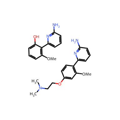 COc1cc(OCCN(C)C)ccc1-c1cccc(N)n1.COc1cccc(O)c1-c1cccc(N)n1